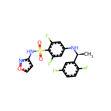 C[C@H](Nc1cc(F)c(S(=O)(=O)Nc2ccon2)c(F)c1)c1cc(F)ccc1F